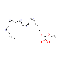 CC/C=C\C/C=C\C/C=C\C/C=C\C/C=C\CCCCOC(OC)C(=O)O